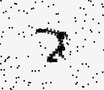 CCCCCCCCCCCCCCCCCC(N)OC(=O)CCCCC(=O)OC(N)CCCCCCCCCCCCCCCCC